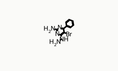 NNc1nc(N)nc(-c2ccccc2)c1Br